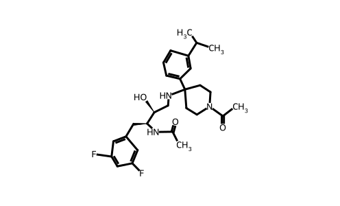 CC(=O)N[C@@H](Cc1cc(F)cc(F)c1)[C@@H](O)CNC1(c2cccc(C(C)C)c2)CCN(C(C)=O)CC1